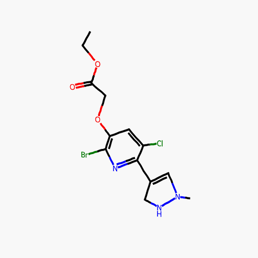 CCOC(=O)COc1cc(Cl)c(C2=CN(C)NC2)nc1Br